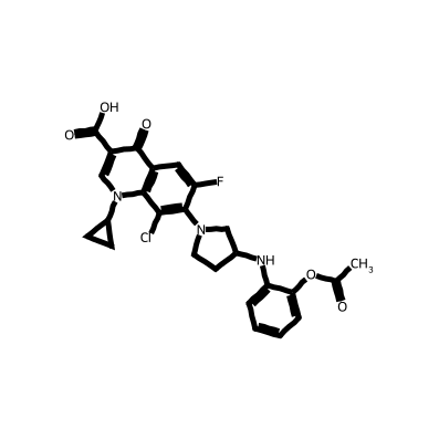 CC(=O)Oc1ccccc1NC1CCN(c2c(F)cc3c(=O)c(C(=O)O)cn(C4CC4)c3c2Cl)C1